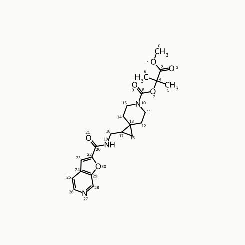 COC(=O)C(C)(C)OC(=O)N1CCC2(CC1)CC2CNC(=O)c1cc2ccncc2o1